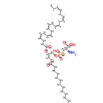 CC/C=C\C/C=C\C/C=C\C/C=C\C/C=C\C/C=C\CCC(=O)O[C@H](COC(=O)CCCCCCCCCCCC)COP(=O)(O)OC[C@H](N)C(=O)O